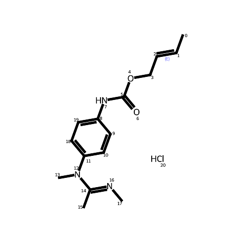 C/C=C/COC(=O)Nc1ccc(N(C)C(C)=NC)cc1.Cl